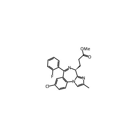 COC(=O)CC[C@@H]1N=C(c2ccccc2F)c2cc(Cl)ccc2-n2cc(C)nc21